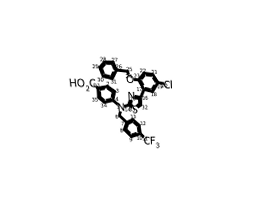 O=C(O)c1ccc(N(Cc2ccc(C(F)(F)F)cc2)c2nc(-c3cc(Cl)ccc3OCc3ccccc3)cs2)cc1